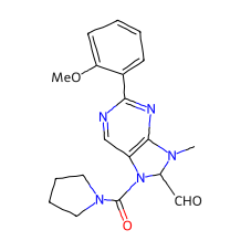 COc1ccccc1-c1ncc2c(n1)N(C)C(C=O)N2C(=O)N1CCCC1